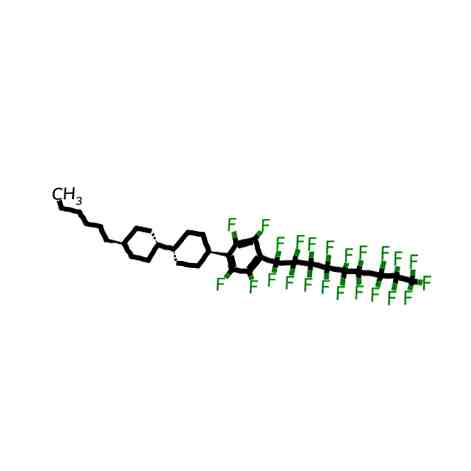 CCCCCC[C@H]1CC[C@H]([C@H]2CC[C@H](c3c(F)c(F)c(C(F)(F)C(F)(F)C(F)(F)C(F)(F)C(F)(F)C(F)(F)C(F)(F)C(F)(F)C(F)(F)F)c(F)c3F)CC2)CC1